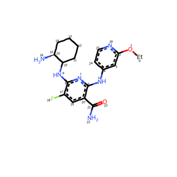 CCOc1cc(Nc2nc(NC3CCCC[C@@H]3N)c(F)cc2C(N)=O)ccn1